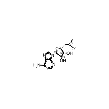 C[S+]([O-])C[C@H]1O[C@@H](n2cnc3c(N)ncnc32)[C@H](O)[C@@H]1O